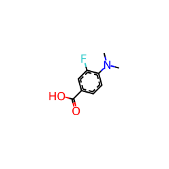 CN(C)c1ccc(C(=O)O)cc1F